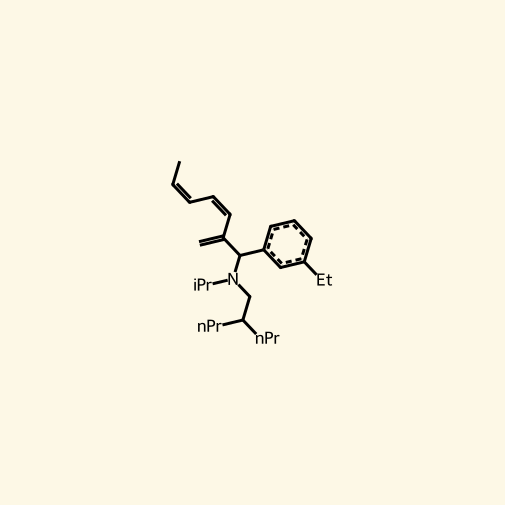 C=C(/C=C\C=C/C)C(c1cccc(CC)c1)N(CC(CCC)CCC)C(C)C